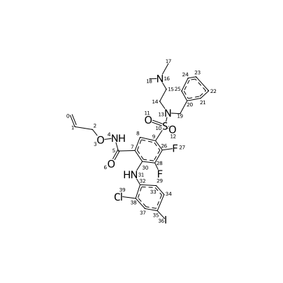 C=CCONC(=O)c1cc(S(=O)(=O)N(CCN(C)C)Cc2ccccc2)c(F)c(F)c1Nc1ccc(I)cc1Cl